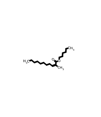 CCCCCCCCC=C(C)C(=O)OCCCCCC